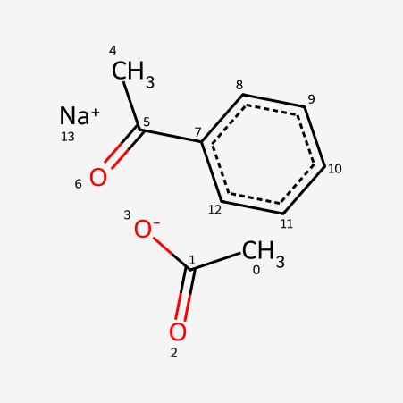 CC(=O)[O-].CC(=O)c1ccccc1.[Na+]